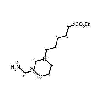 CCOC(=O)CCCCCN1CCO[C@@H](CN)C1